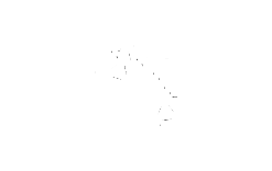 O=C(c1ccc(Cl)cc1)N1CCN(C2CN(c3cc(C(F)(F)F)nc4c(C(F)(F)F)cccc34)CC2O)CC1